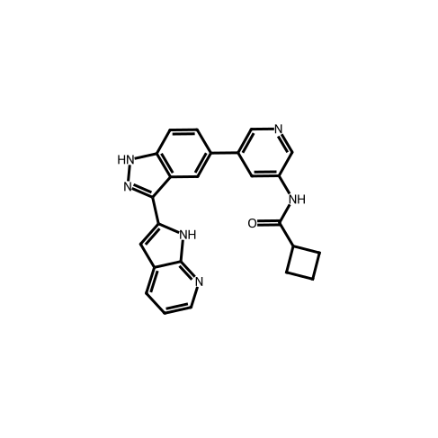 O=C(Nc1cncc(-c2ccc3[nH]nc(-c4cc5cccnc5[nH]4)c3c2)c1)C1CCC1